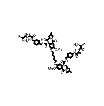 COc1cc2c(cc1OCCCCCOc1cc3c(cc1OC)C(=O)N1C=C(C)CC1C(O)N3C(=O)OCc1ccc(NC(=O)[C@H](C)NC(=O)C(N)C(C)C)cc1)N(C(=O)OCc1ccc(NC(=O)C(C)NC(=O)[C@@H](N)C(C)C)cc1)CC1CC(C)=CN1C2=O